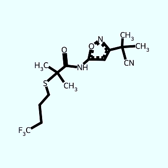 CC(C)(SCCCC(F)(F)F)C(=O)Nc1cc(C(C)(C)C#N)no1